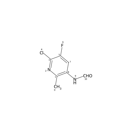 Cc1nc(Cl)c(F)cc1NC=O